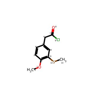 COc1ccc(CC(=O)Cl)cc1SC